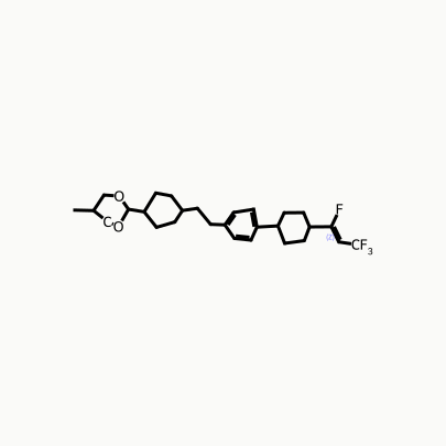 CC1COC(C2CCC(CCc3ccc(C4CCC(/C(F)=C/C(F)(F)F)CC4)cc3)CC2)OC1